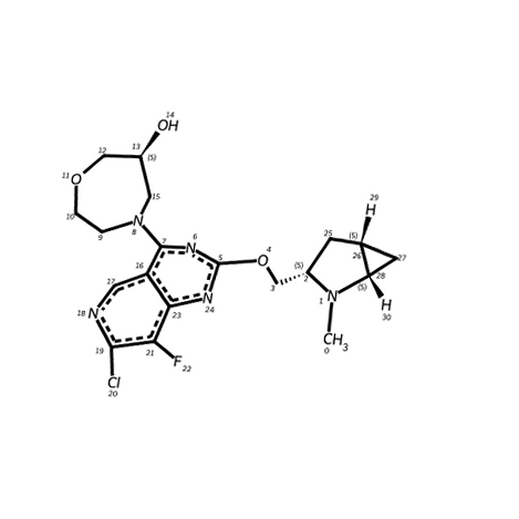 CN1[C@H](COc2nc(N3CCOC[C@@H](O)C3)c3cnc(Cl)c(F)c3n2)C[C@@H]2C[C@@H]21